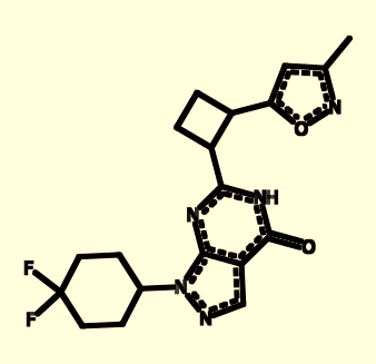 Cc1cc(C2CCC2c2nc3c(cnn3C3CCC(F)(F)CC3)c(=O)[nH]2)on1